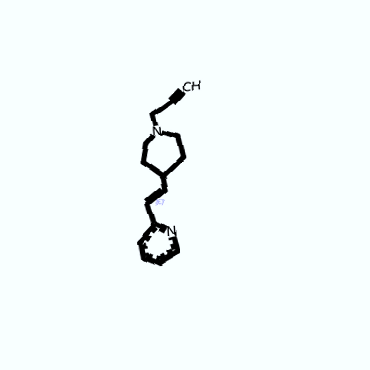 C#CCN1CCC(/C=C/c2ccccn2)CC1